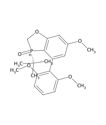 COc1cc2c(c(-c3c(OC)cccc3OC)c1)[P@](=O)(C(C)(C)C)CO2